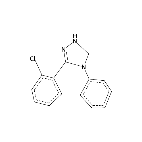 Clc1ccccc1C1=NNCN1c1ccccc1